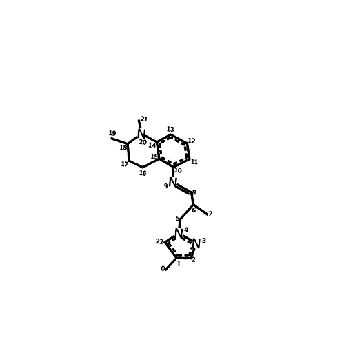 Cc1cnn(CC(C)/C=N/c2cccc3c2CCC(C)N3C)c1